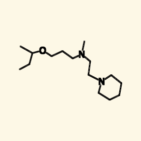 CCC(C)OCCCN(C)CCN1CCCCC1